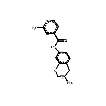 N[C@H]1COc2cc(NC(=O)c3ccnc(C(F)(F)F)c3)ccc2C1